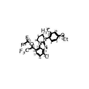 CCOc1ccc(N2CCCn3c2nc2c(Cl)ccc(C(OC(F)F)C(F)(F)F)c23)c(C)c1